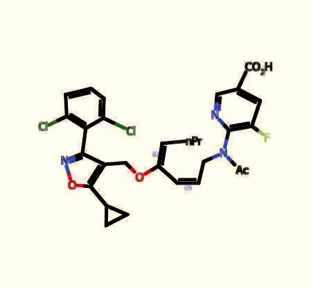 CCC/C=C(\C=C/CN(C(C)=O)c1ncc(C(=O)O)cc1F)OCc1c(-c2c(Cl)cccc2Cl)noc1C1CC1